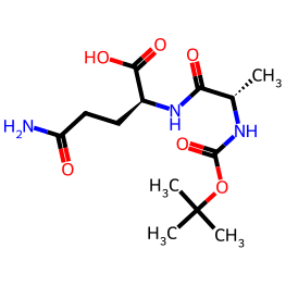 C[C@H](NC(=O)OC(C)(C)C)C(=O)N[C@@H](CCC(N)=O)C(=O)O